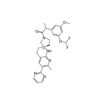 COc1cc(OC(F)F)cc(C(C)C(=O)N2CC[C@@]3(CCc4cc(-c5ncccn5)c(C)nc4N3)C2)c1